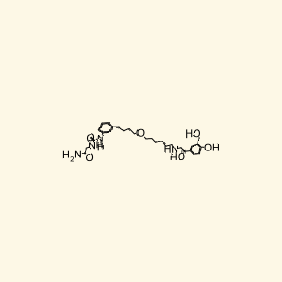 NC(=O)CNC(=O)Nc1cccc(CCCCOCCCCCCNC[C@H](O)c2ccc(O)c(CO)c2)c1